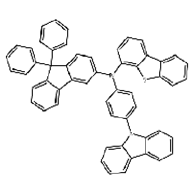 c1ccc(C2(c3ccccc3)c3ccccc3-c3cc(N(c4ccc(-n5c6ccccc6c6ccccc65)cc4)c4cccc5c4sc4ccccc45)ccc32)cc1